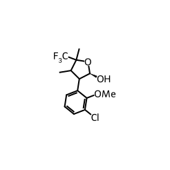 COc1c(Cl)cccc1C1C(C)C(C)(C(F)(F)F)O[C@H]1O